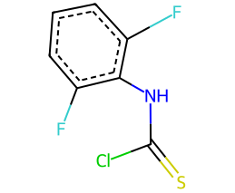 Fc1cccc(F)c1NC(=S)Cl